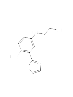 Nc1ccc(NCCO)cc1-c1nccs1